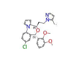 [CH2]c1ccnn1CC[C@H]1O[C@H](c2cccc(OC)c2OC)c2cc(Cl)ccc2-n2cccc21